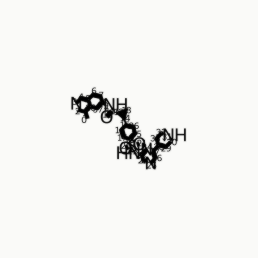 Cc1cncc2ccc(NC(=O)[C@@H]3C[C@H]3c3ccc(S(=O)(=O)Nc4cncc(C5=CCNCC5)n4)cc3)cc12